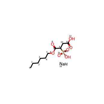 CCCCCCOC(=O)C(CC(=O)O)S(=O)(=O)O.[NaH]